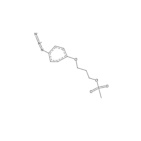 CS(=O)(=O)OCCCOc1ccc(N=[N+]=[N-])cc1